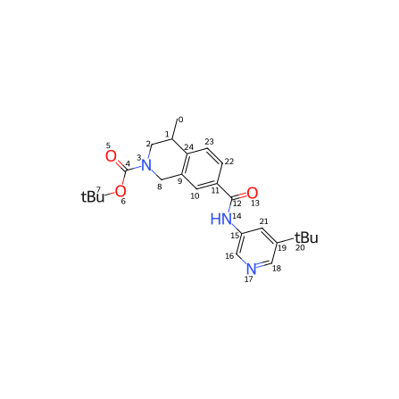 CC1CN(C(=O)OC(C)(C)C)Cc2cc(C(=O)Nc3cncc(C(C)(C)C)c3)ccc21